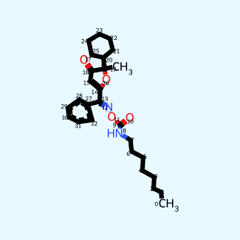 CCCCCCCCNC(=O)ON=C(C1=CC(=O)C(C)(C2CCCCC2)O1)c1ccccc1